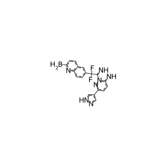 Bc1ccc2cc(C(F)(F)C(=N)n3nc(-c4cn[nH]c4)ccc3=N)ccc2n1